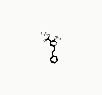 COC(=O)c1cc(CCc2ccccc2)sc1N